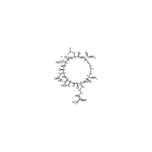 CC(C)C[C@@H]1NC(=O)[C@H]([C@@H](C)O)NC(=O)[C@H](CC(=O)O)NC(=O)[C@H](CO)NC(=O)[C@H](CCCNC(=N)N)NC(=O)[C@@H](N)CSSC[C@@H](C(N)=O)NC1=O